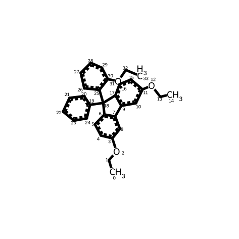 CCOc1ccc2c(c1)-c1cc(OCC)ccc1C2(c1ccccc1)c1ccccc1OCC